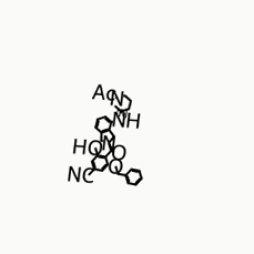 CC(=O)N1CCC[C@@H](Nc2cccc3c2CN(C(=O)c2c(O)cc(C#N)cc2OCc2ccccc2)C3)C1